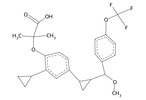 COC(c1ccc(OC(F)(F)F)cc1)C1CC1c1ccc(OC(C)(C)C(=O)O)c(C2CC2)c1